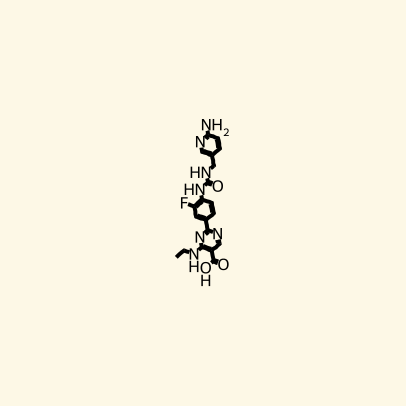 CCNc1nc(-c2ccc(NC(=O)NCc3ccc(N)nc3)c(F)c2)ncc1C(=O)O